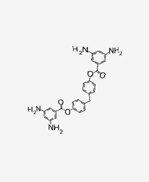 Nc1cc(N)cc(C(=O)Oc2ccc(Cc3ccc(OC(=O)c4cc(N)cc(N)c4)cc3)cc2)c1